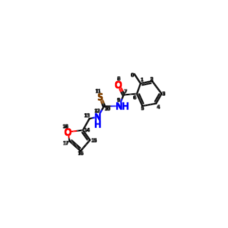 Cc1ccccc1C(=O)NC(=S)NCc1ccco1